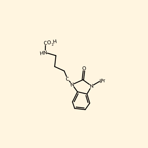 CC(C)n1c(=O)n(CCCCNC(=O)O)c2ccccc21